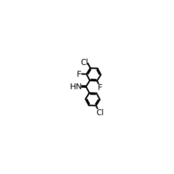 N=C(c1ccc(Cl)cc1)c1c(F)ccc(Cl)c1F